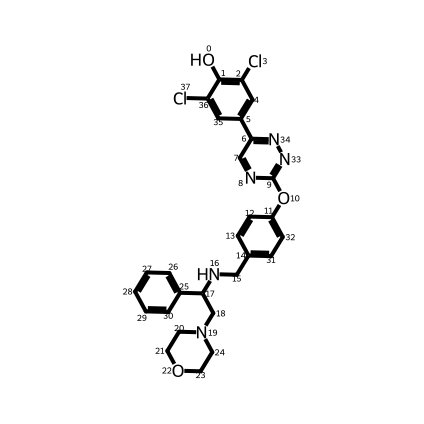 Oc1c(Cl)cc(-c2cnc(Oc3ccc(CNC(CN4CCOCC4)c4ccccc4)cc3)nn2)cc1Cl